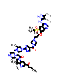 CCCC(=O)c1cnc2c(c1)N(C(=O)CN1C[C@@H](C)NC[C@@H]1CN1CCN(c3ncc(C(=O)N4CCN(CCCOc5cc6ncnc(Nc7[nH]nc(C)c7C)c6cc5S(=O)(=O)C(C)(C)C)CC4)cn3)CC1C)CC2(C)C